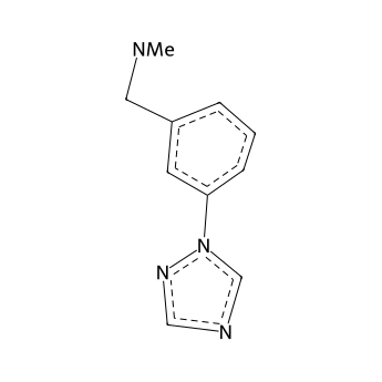 CNCc1cccc(-n2cncn2)c1